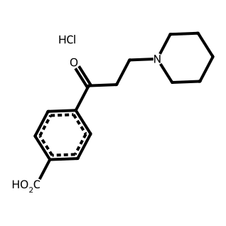 Cl.O=C(O)c1ccc(C(=O)CCN2CCCCC2)cc1